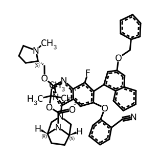 CN1CCC[C@H]1COc1nc(N2C[C@H]3CC[C@@H](C2)N3C(=O)OC(C)(C)C)c2cc(Oc3ccccc3C#N)c(-c3cc(OCc4ccccc4)cc4ccccc34)c(F)c2n1